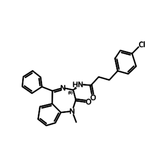 CN1C(=O)[C@H](NC(=O)CCc2ccc(Cl)cc2)N=C(c2ccccc2)c2ccccc21